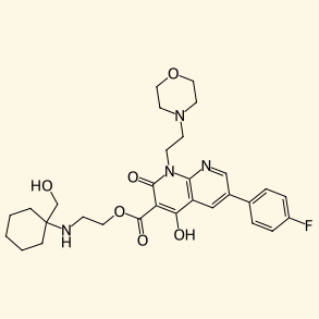 O=C(OCCNC1(CO)CCCCC1)c1c(O)c2cc(-c3ccc(F)cc3)cnc2n(CCN2CCOCC2)c1=O